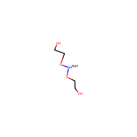 OCCONOCCO.[NaH]